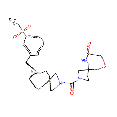 O=C1COCC2(CN(C(=O)N3CC4(CC[C@@H](Cc5cccc(S(=O)(=O)C(F)(F)F)c5)C4)C3)C2)N1